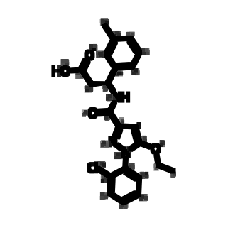 CCOc1cc(C(=O)N[C@@H](CC(=O)O)c2cccc(C)c2)nn1-c1ccccc1Cl